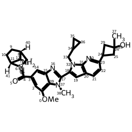 COc1cc(C(=O)N2C[C@H]3CC[C@@H]2[C@@H]3N)cc2nc(-c3cc4ccc(C5CC(C)(O)C5)nc4n3CC3CC3)n(C)c12